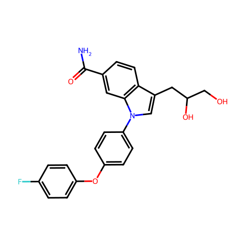 NC(=O)c1ccc2c(CC(O)CO)cn(-c3ccc(Oc4ccc(F)cc4)cc3)c2c1